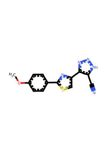 COc1ccc(-c2nc(-c3nn[nH]c3C#N)cs2)cc1